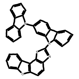 c1ccc2c(c1)oc1ccc3nc(-n4c5ccccc5c5ccc(-n6c7ccccc7c7ccccc76)cc54)sc3c12